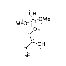 CO[PH](O)(OC)OC[C@@H](O)CF